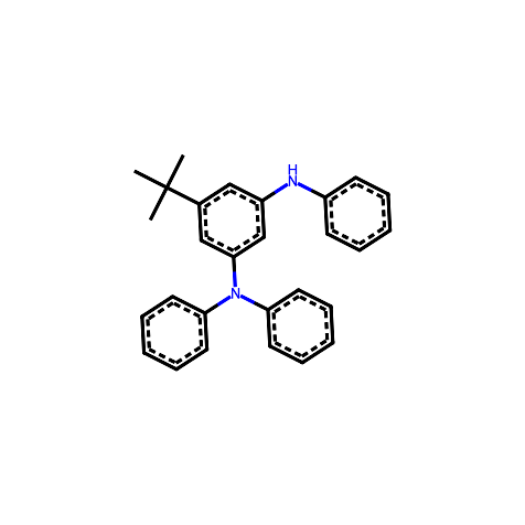 CC(C)(C)c1cc(Nc2ccccc2)cc(N(c2ccccc2)c2ccccc2)c1